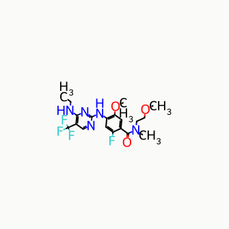 CCNc1nc(Nc2cc(F)c(C(=O)N(C)CCOC)cc2OC)ncc1C(F)(F)F